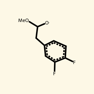 COC([O])Cc1ccc(F)c(F)c1